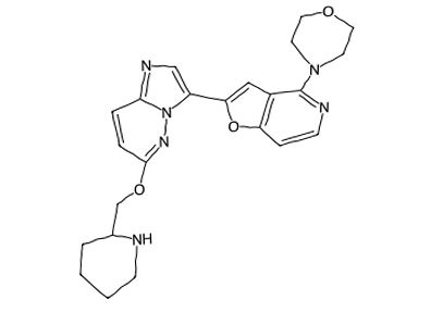 c1cc2oc(-c3cnc4ccc(OCC5CCCCN5)nn34)cc2c(N2CCOCC2)n1